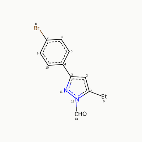 CCc1cc(-c2ccc(Br)cc2)nn1C=O